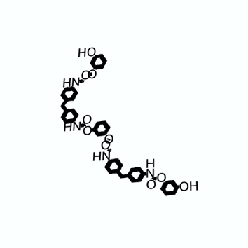 O=C(Nc1ccc(Cc2ccc(NCOOc3cccc(OC(=O)Nc4ccc(Cc5ccc(NCOOc6cccc(O)c6)cc5)cc4)c3)cc2)cc1)Oc1cccc(O)c1